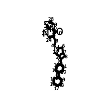 O=c1c(CCN2CC3CC(c4ccc(-c5ccccc5)cc4)C3C2)cnc2sccn12